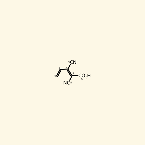 C=CC(C#N)=C(C#N)C(=O)O